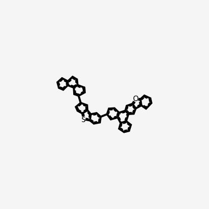 c1ccc2c(c1)ccc1ccc(-c3ccc4sc5ccc(-c6ccc7c(c6)c6ccccc6c6cc8c(cc76)oc6ccccc68)cc5c4c3)cc12